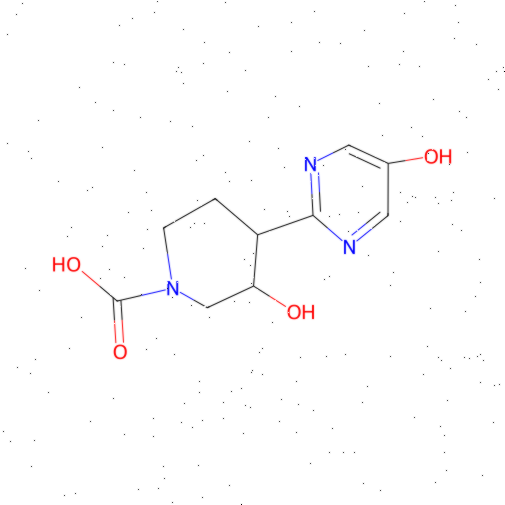 O=C(O)N1CCC(c2ncc(O)cn2)C(O)C1